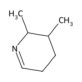 CC1CCC=NC1C